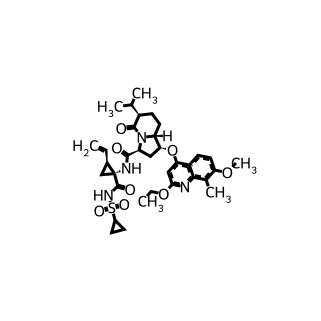 C=C[C@@H]1C[C@]1(NC(=O)[C@@H]1C[C@@H](Oc2cc(OCC)nc3c(C)c(OC)ccc23)[C@H]2CC[C@H](C(C)C)C(=O)N21)C(=O)NS(=O)(=O)C1CC1